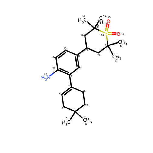 CC1(C)CC=C(c2cc(C3CC(C)(C)S(=O)(=O)C(C)(C)C3)ccc2N)CC1